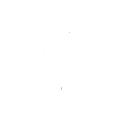 CC1CSC(Cc2c(Cl)cc(Cl)cc2Cl)(Cn2ccnc2)S1